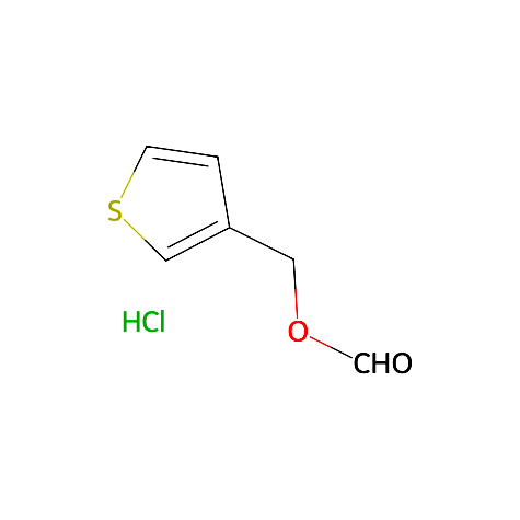 Cl.O=COCc1ccsc1